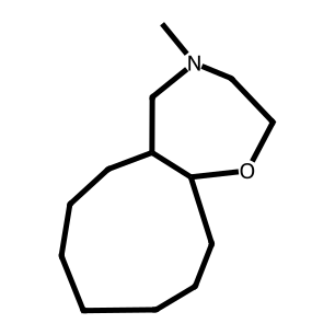 CN1CCOC2CCCCCCCC2C1